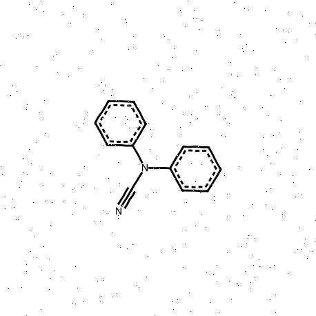 N#CN(c1[c]cccc1)c1[c]cccc1